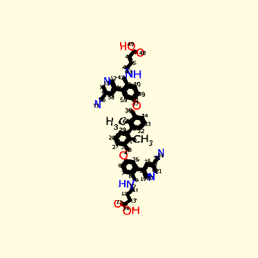 Cc1c(COc2ccc(CNCCCC(=O)O)c(-c3cncc(C#N)c3)c2)cccc1-c1cccc(COc2ccc(CNCCCC(=O)O)c(-c3cncc(C#N)c3)c2)c1C